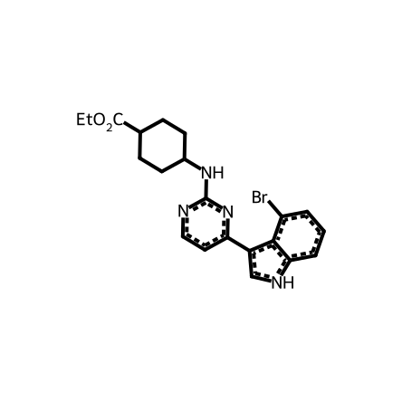 CCOC(=O)C1CCC(Nc2nccc(-c3c[nH]c4cccc(Br)c34)n2)CC1